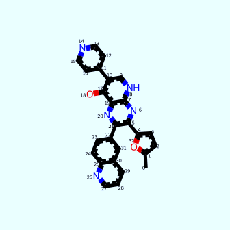 Cc1ccc(-c2nc3[nH]cc(-c4ccncc4)c(=O)c3nc2-c2ccc3ncccc3c2)o1